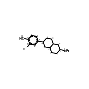 CCCC1CCC2CC(c3ccc(C#N)c(F)c3)CCC2C1